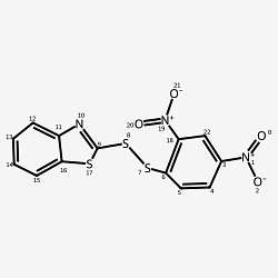 O=[N+]([O-])c1ccc(SSc2nc3ccccc3s2)c([N+](=O)[O-])c1